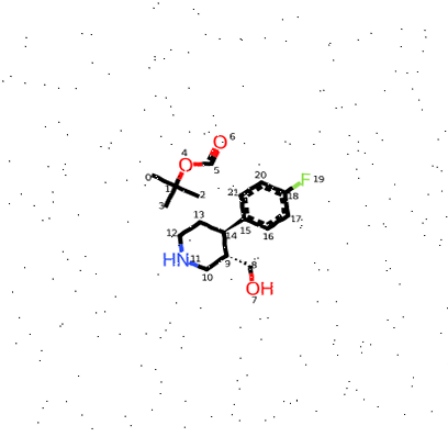 CC(C)(C)OC=O.OC[C@@H]1CNCC[C@H]1c1ccc(F)cc1